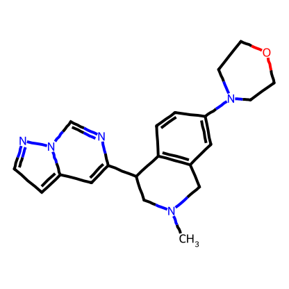 CN1Cc2cc(N3CCOCC3)ccc2C(c2cc3ccnn3cn2)C1